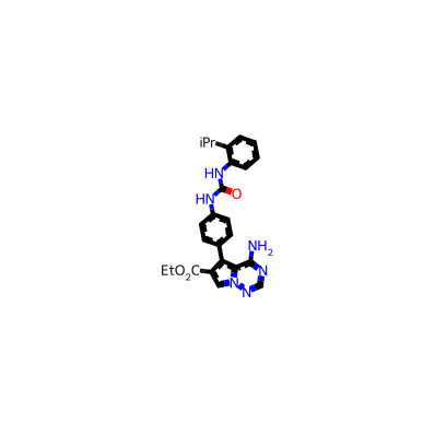 CCOC(=O)c1cn2ncnc(N)c2c1-c1ccc(NC(=O)Nc2ccccc2C(C)C)cc1